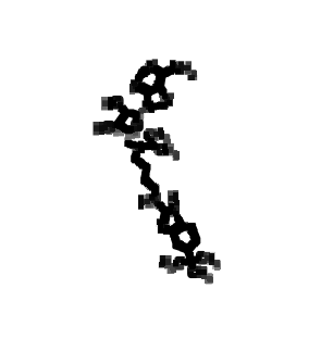 CC(C)N(CCCCNc1nc2cc(C(C)(C)C)ccc2[nH]1)C[C@H]1O[C@@H](n2cnc3c(N)ncnc32)C(O)[C@@H]1O